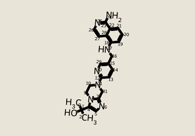 CC(C)(O)c1cnc2n1CCN(c1ccc(CNc3cccc4c(N)nccc34)cn1)C2